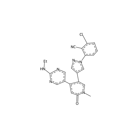 CCNc1ncc(-c2cc(=O)n(C)cc2-c2cnn(-c3cccc(Cl)c3C#N)c2)cn1